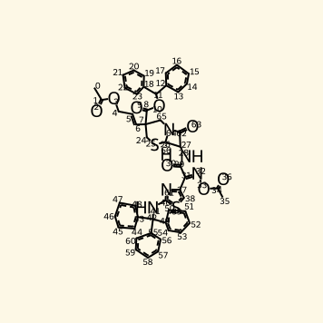 CC(=O)OCC=CC1(C(=O)OC(c2ccccc2)c2ccccc2)CS[C@@H]2C(NC(=O)C(=NOC(C)=O)c3csc(NC(c4ccccc4)(c4ccccc4)c4ccccc4)n3)C(=O)N2C1